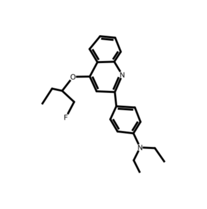 CCC(CF)Oc1cc(-c2ccc(N(CC)CC)cc2)nc2ccccc12